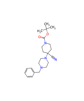 CC(C)(C)OC(=O)N1CCC(C#N)(N2CCN(Cc3ccccc3)CC2)CC1